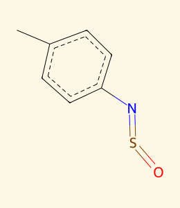 Cc1ccc(N=S=O)cc1